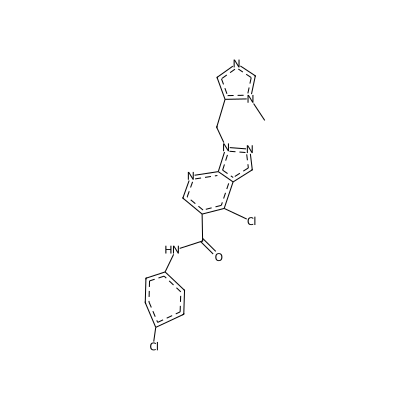 Cn1cncc1Cn1ncc2c(Cl)c(C(=O)Nc3ccc(Cl)cc3)cnc21